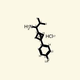 CC(C)C(N)C12CC(c3ccc(F)cc3)(C1)C2.Cl